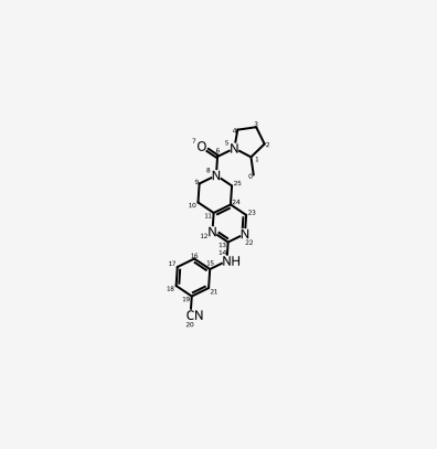 CC1CCCN1C(=O)N1CCc2nc(Nc3cccc(C#N)c3)ncc2C1